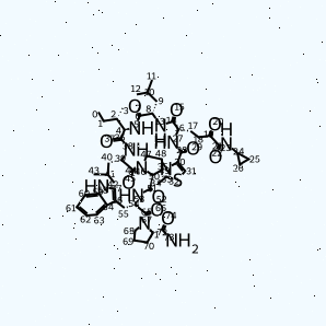 CC[C@H](C)[C@@H](NC(=O)[C@H](CC(C)C)NC(=O)[C@H](CCC(=O)C(=O)NC1CC1)NC(=O)c1csc(C)n1)C(=O)N[C@@H](CC(C)C)C(=O)N1CCC[C@H]1C(=O)N[C@@H](Cc1c[nH]c2ccccc12)C(=O)N1CCC[C@H]1C(N)=O